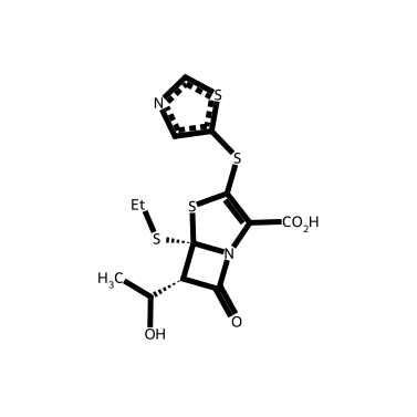 CCS[C@]12SC(Sc3cncs3)=C(C(=O)O)N1C(=O)[C@@H]2C(C)O